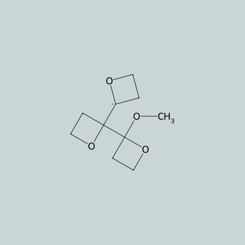 COC1(C2([C]3CCO3)CCO2)CCO1